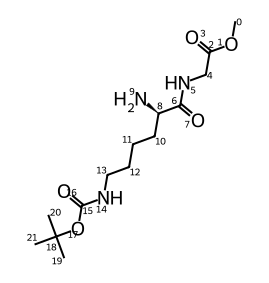 COC(=O)CNC(=O)[C@H](N)CCCCNC(=O)OC(C)(C)C